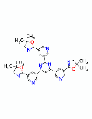 CC1(C)CN=C(c2cncc(-c3cc(-c4cncc(C5=NCC(C)(C)O5)c4)nc(-c4cncc(C5=NCC(C)(C)O5)c4)n3)c2)O1